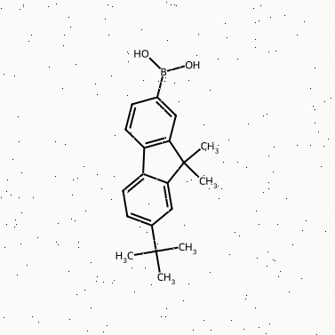 CC(C)(C)c1ccc2c(c1)C(C)(C)c1cc(B(O)O)ccc1-2